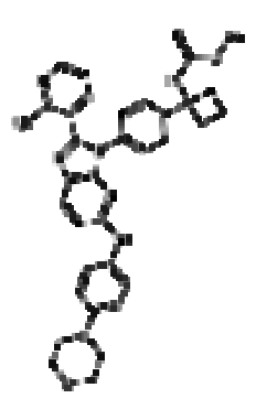 CC(C)(C)OC(=O)NC1(c2ccc(-n3c(-c4cccnc4N)nc4ccc(Nc5ccc(N6CCOCC6)cc5)nc43)cc2)CCC1